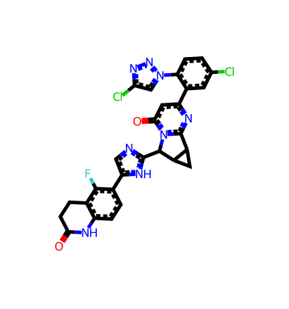 O=C1CCc2c(ccc(-c3cnc(C4C5CC5c5nc(-c6cc(Cl)ccc6-n6cc(Cl)nn6)cc(=O)n54)[nH]3)c2F)N1